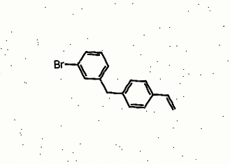 C=Cc1ccc(Cc2cccc(Br)c2)cc1